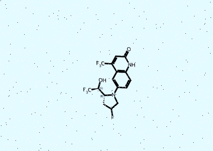 O=c1cc(C(F)(F)F)c2cc(N3CC(F)C[C@@H]3[C@H](O)C(F)(F)F)ccc2[nH]1